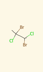 CC(Cl)(Br)[C](Cl)Br